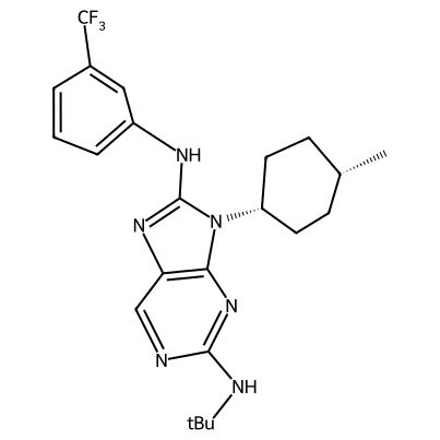 CC(C)(C)Nc1ncc2nc(Nc3cccc(C(F)(F)F)c3)n([C@H]3CC[C@@H](C)CC3)c2n1